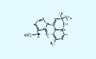 CC1(C)C=C(n2cccc(NC=O)c2=O)c2cc(C#N)ccc2O1